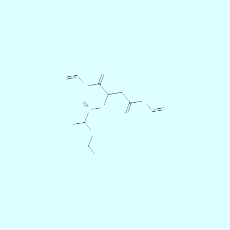 C=COC(=O)CC(O[PH](=O)C(C)OCC)C(=O)OC=C